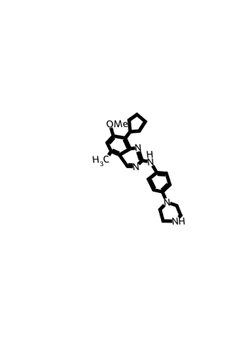 COc1cc(C)c2cnc(Nc3ccc(N4CCNCC4)cc3)nc2c1C1CCCC1